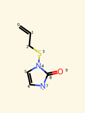 C=CCSN1C=C[N]C1=O